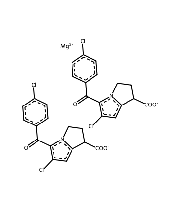 O=C(c1ccc(Cl)cc1)c1c(Cl)cc2n1CCC2C(=O)[O-].O=C(c1ccc(Cl)cc1)c1c(Cl)cc2n1CCC2C(=O)[O-].[Mg+2]